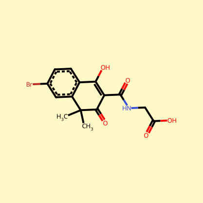 CC1(C)C(=O)C(C(=O)NCC(=O)O)=C(O)c2ccc(Br)cc21